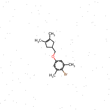 CC1=C(C)CC(COc2cc(C)c(Br)c(C)c2)C1